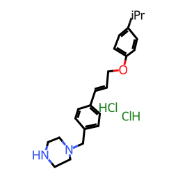 CC(C)c1ccc(OCC=Cc2ccc(CN3CCNCC3)cc2)cc1.Cl.Cl